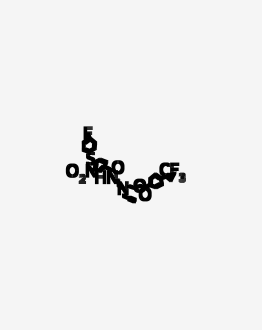 C#CCN(CCNC(=O)c1ccc(Sc2ccc(F)cc2)c([N+](=O)[O-])c1)CCOC(=O)c1ccc(C2(C(F)(F)F)C=C2)cc1